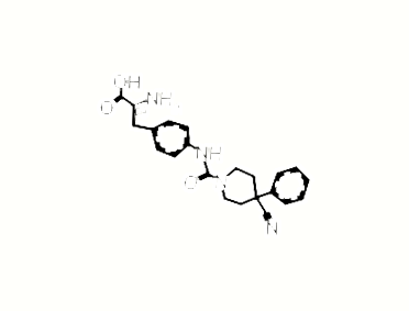 N#CC1(c2ccccc2)CCN(C(=O)Nc2ccc(C[C@H](N)C(=O)O)cc2)CC1